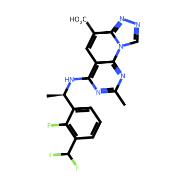 Cc1nc(N[C@H](C)c2cccc(C(F)F)c2F)c2cc(C(=O)O)c3nncn3c2n1